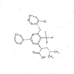 CC(C)CC(C(=O)O)c1cc(-c2ccccc2)cc(Cc2cnccc2Cl)c1C(F)(F)F